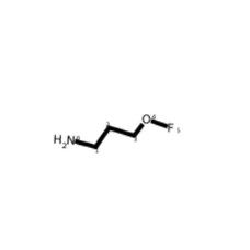 NCCCOF